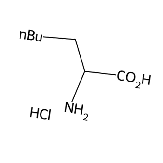 CCCCCC(N)C(=O)O.Cl